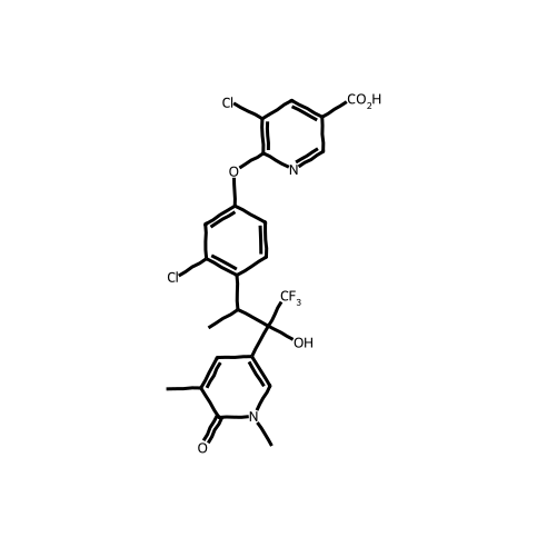 Cc1cc(C(O)(C(C)c2ccc(Oc3ncc(C(=O)O)cc3Cl)cc2Cl)C(F)(F)F)cn(C)c1=O